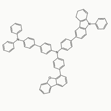 C1=Cc2c(c3cc(-c4ccc(N(c5ccc(-c6ccc(N(c7ccccc7)c7ccccc7)cc6)cc5)c5ccc(-c6cccc7c6oc6ccccc67)cc5)cc4)ccc3n2-c2ccccc2)CC1